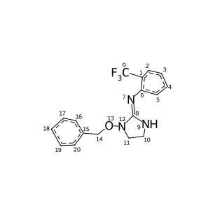 FC(F)(F)c1ccccc1/N=C1\NCCN1OCc1ccccc1